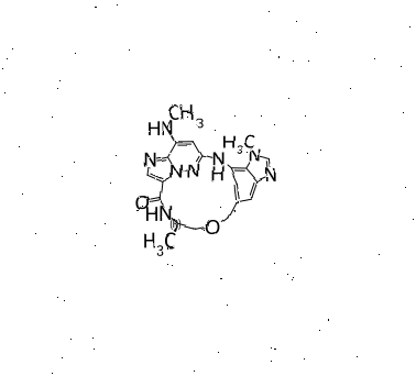 CNc1cc2nn3c(cnc13)C(=O)N[C@H](C)COCc1cc(c3c(c1)ncn3C)N2